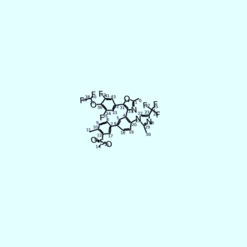 Cc1nc(-c2cc(-c3ccc(C)c(S(C)(=O)=O)c3)ccc2-n2cc(C(F)(F)F)nc2C)c(-c2cc(F)c(OC(F)F)c(F)c2)o1